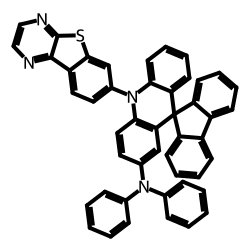 c1ccc(N(c2ccccc2)c2ccc3c(c2)C2(c4ccccc4-c4ccccc42)c2ccccc2N3c2ccc3c(c2)sc2nccnc23)cc1